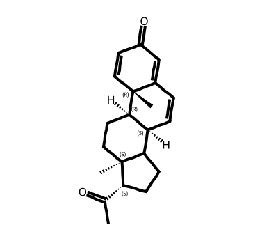 CC(=O)[C@H]1CCC2[C@@H]3C=CC4=CC(=O)C=C[C@@]4(C)[C@@H]3CC[C@@]21C